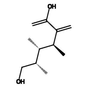 C=C(O)C(=C)[C@@H](C)[C@@H](C)[C@H](C)CO